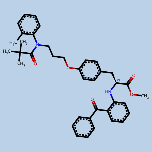 COC(=O)[C@H](Cc1ccc(OCCCN(C(=O)C(C)(C)C)c2ccccc2C)cc1)Nc1ccccc1C(=O)c1ccccc1